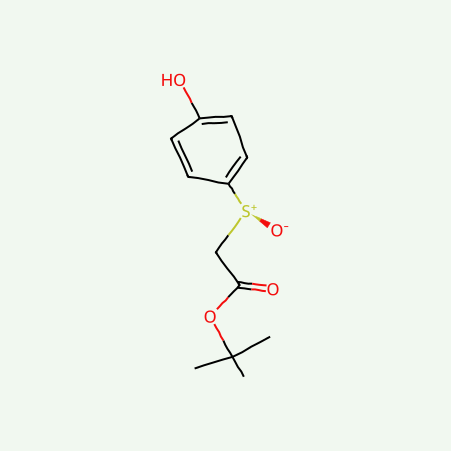 CC(C)(C)OC(=O)C[S@+]([O-])c1ccc(O)cc1